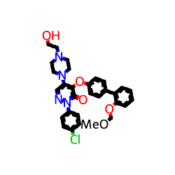 COCOc1ccccc1-c1ccc(Oc2c(N3CCN(CCO)CC3)cnn(-c3ccc(Cl)cc3)c2=O)cc1